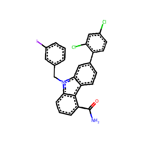 NC(=O)c1cccc2c1c1[c]cc(-c3ccc(Cl)cc3Cl)cc1n2Cc1cccc(I)c1